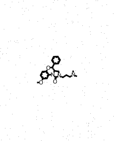 COc1ccc2c(c1)N1C(=O)N(CCCN(C)C)CC1C(c1ccccc1)O2